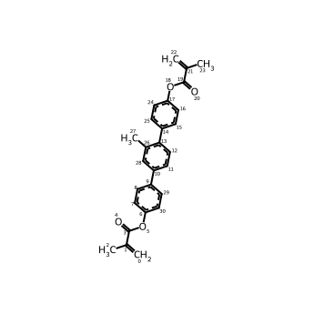 C=C(C)C(=O)Oc1ccc(-c2ccc(-c3ccc(OC(=O)C(=C)C)cc3)c(C)c2)cc1